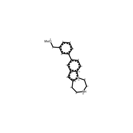 COCc1cccc(-c2ccc3c(c2)cc2n3CCNCC2)c1